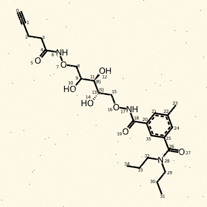 C#CCCC(=O)NOCC(O)[C@@H](O)[C@@H](O)CONC(=O)c1cc(C)cc(C(=O)N(CCC)CCC)c1